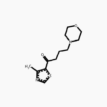 Cc1ncsc1C(=O)CCCN1CCOCC1